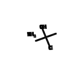 CC(C)(O)Cl.N